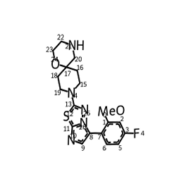 COc1cc(F)ccc1-c1cnc2sc(N3CCC4(CC3)CNCCO4)nn12